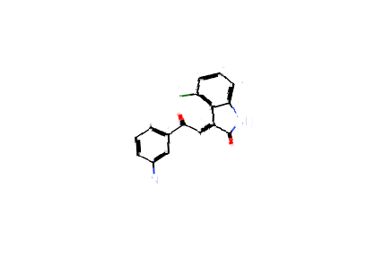 Nc1cccc(C(=O)/C=C2/C(=O)Nc3cccc(Cl)c32)c1